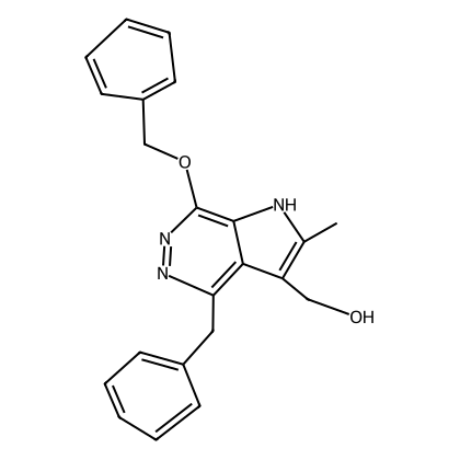 Cc1[nH]c2c(OCc3ccccc3)nnc(Cc3ccccc3)c2c1CO